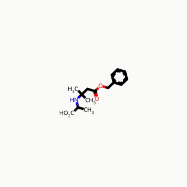 CC(NC(C)(C)CC(=O)OCc1ccccc1)C(=O)O